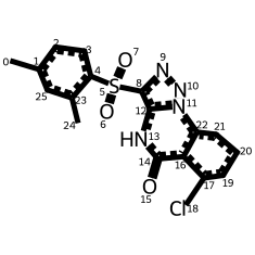 Cc1ccc(S(=O)(=O)c2nnn3c2[nH]c(=O)c2c(Cl)cccc23)c(C)c1